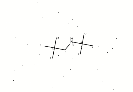 CC(C)(I)CNC(C)(C)C